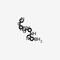 Bc1ccc2nccc(Nc3cccc(C(=O)Nc4cc(Oc5ccncc5)ccn4)c3)c2c1